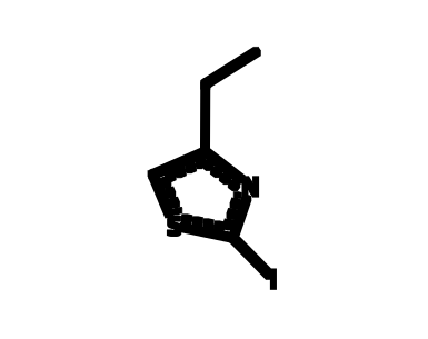 CCc1csc(I)n1